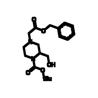 CC(C)(C)OC(=O)N1CCN(CC(=O)OCc2ccccc2)CC1CO